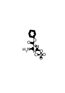 Nc1nc(OS(=O)(=O)Cl)nn1C(=O)Oc1ccccc1